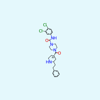 O=C(Nc1ccc(Cl)c(Cl)c1)N1CCN(C(=O)[C@@H]2CCNC(CCc3ccccc3)C2)CC1